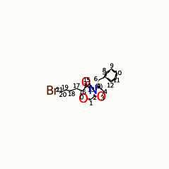 O=CC1OC[C@@H](Cc2ccccc2)N1C(=O)CCCCCBr